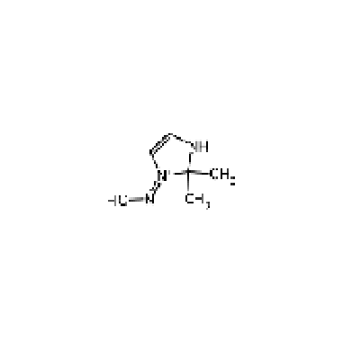 CC1(C)NC=C[N+]1=NO